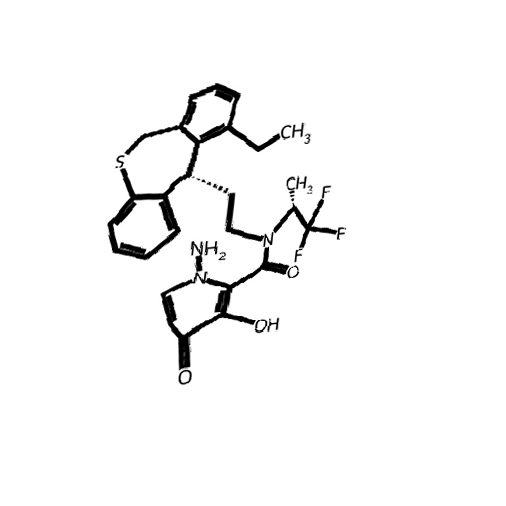 CCc1cccc2c1[C@H](CCN(C(=O)c1c(O)c(=O)ccn1N)[C@H](C)C(F)(F)F)c1ccccc1SC2